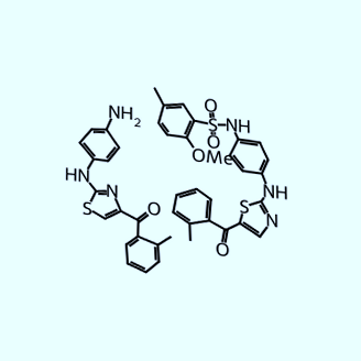 COc1ccc(C)cc1S(=O)(=O)Nc1ccc(Nc2ncc(C(=O)c3ccccc3C)s2)cc1.Cc1ccccc1C(=O)c1csc(Nc2ccc(N)cc2)n1